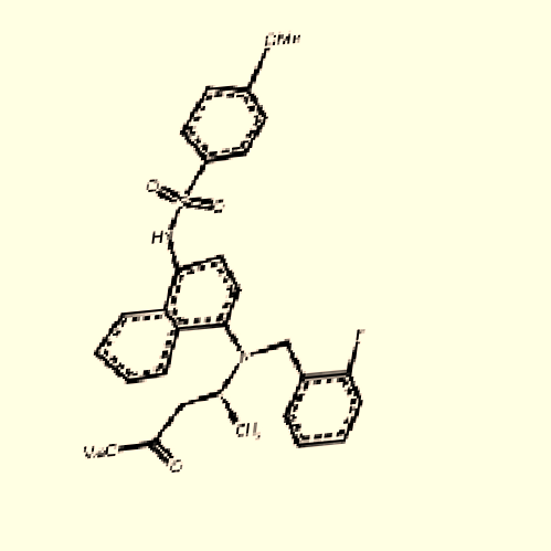 COC(=O)C[C@H](C)N(Cc1ccccc1F)c1ccc(NS(=O)(=O)c2ccc(OC)cc2)c2ccccc12